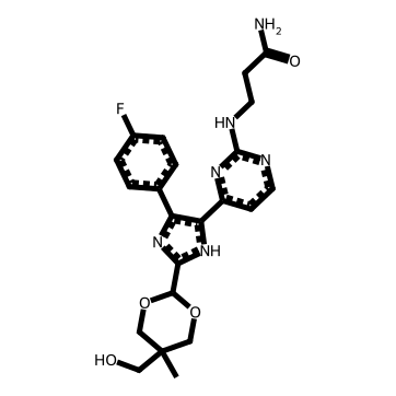 CC1(CO)COC(c2nc(-c3ccc(F)cc3)c(-c3ccnc(NCCC(N)=O)n3)[nH]2)OC1